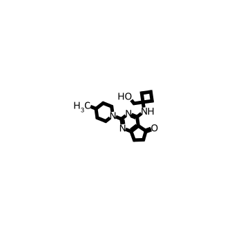 CC1CCN(c2nc3c(c(NC4(CO)CCC4)n2)C(=O)CC3)CC1